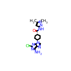 Cc1cc(NC(=O)[C@H]2CC[C@@H](n3cnc4c(N)nc(Cl)nc43)CC2)nn1C